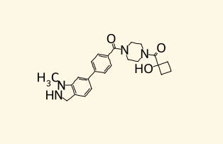 CN1NCc2ccc(-c3ccc(C(=O)N4CCN(C(=O)C5(O)CCC5)CC4)cc3)cc21